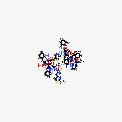 CC(C)c1nc(CN(C)C(=O)N[C@H](C(=O)N[C@@H](Cc2ccccc2)C[C@H](O)[C@H](Cc2ccccc2)NC(=O)OCc2cncs2)C(C)C)cs1.Cc1cccc(C)c1OCC(=O)N[C@@H](Cc1ccccc1)[C@@H](O)C[C@H](Cc1ccccc1)NC(=O)[C@H](C(C)C)N1CCCNC1=O